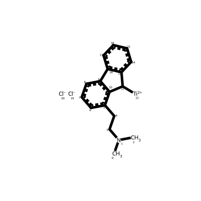 CN(C)CCc1cccc2c1[CH]([Ti+2])c1ccccc1-2.[Cl-].[Cl-]